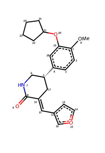 COc1ccc([C@H]2CNC(=O)/C(=C/c3ccoc3)C2)cc1OC1CCCC1